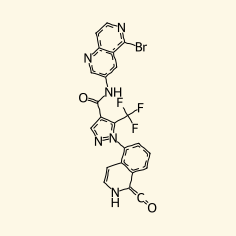 O=C=C1NC=Cc2c1cccc2-n1ncc(C(=O)Nc2cnc3ccnc(Br)c3c2)c1C(F)(F)F